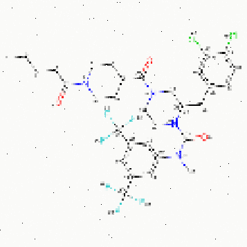 CCCCC(=O)N1CCC(C(=O)N2CCN(C(=O)N(C)c3cc(C(F)(F)F)cc(C(F)(F)F)c3)[C@H](Cc3ccc(Cl)c(Cl)c3)C2)CC1